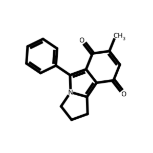 CC1=CC(=O)c2c(c(-c3ccccc3)n3c2CCC3)C1=O